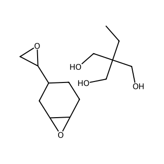 C1CC2OC2CC1C1CO1.CCC(CO)(CO)CO